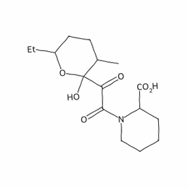 CCC1CCC(C)C(O)(C(=O)C(=O)N2CCCCC2C(=O)O)O1